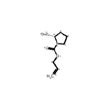 C=CCOC(=O)N1CCC[C@H]1C=O